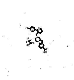 O=C(O)C(F)(F)F.O=C(O)c1ccc2c(c1)cc1n2CCN(Cc2cccnc2-c2ccc(Cl)nc2)C1